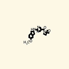 COc1ccc2c(c1)CC(Nc1ncc(C(=O)N3CCC34COC4)cn1)C2